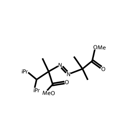 COC(=O)C(C)(C)N=NC(C)(C(=O)OC)C(C(C)C)C(C)C